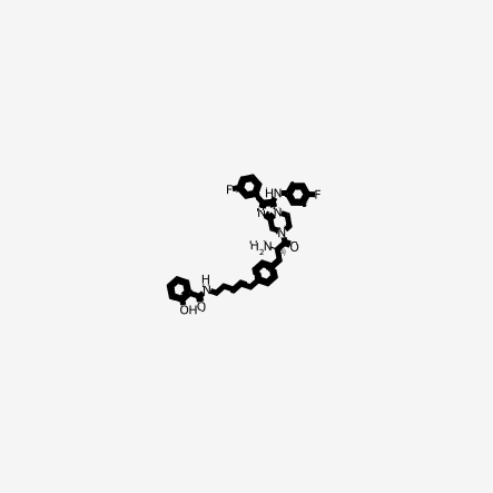 N[C@@H](Cc1ccc(CCCCCNC(=O)c2ccccc2O)cc1)C(=O)N1CCn2c(nc(-c3cccc(F)c3)c2Nc2ccc(F)cc2)C1